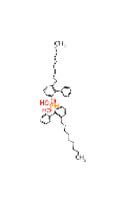 CCCCCCCCCc1cccc(O[PH](O)(O)c2cccc(CCCCCCCCC)c2-c2ccccc2)c1-c1ccccc1